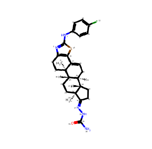 C[C@]12CCc3nc(Nc4ccc(F)cc4)sc3C1=CC[C@@H]1[C@@H]2CC[C@]2(C)/C(=N/NC(N)=O)CC[C@@H]12